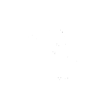 CCOC(=O)c1cc2c(-n3c(=O)[nH]c4cc(-c5cc(OC)ccc5Cl)sc4c3=O)cncc2s1